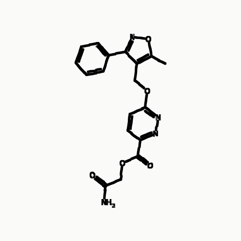 Cc1onc(-c2ccccc2)c1COc1ccc(C(=O)OCC(N)=O)nn1